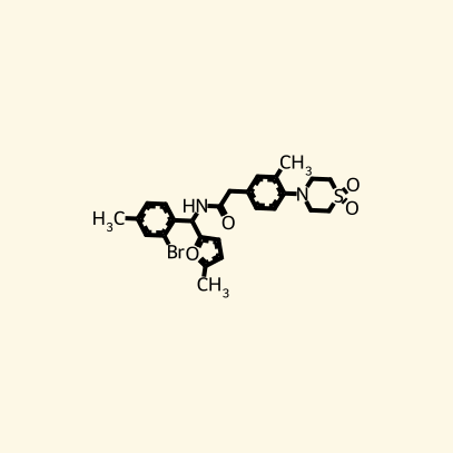 Cc1ccc(C(NC(=O)Cc2ccc(N3CCS(=O)(=O)CC3)c(C)c2)c2ccc(C)o2)c(Br)c1